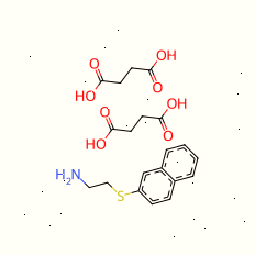 NCCSc1ccc2ccccc2c1.O=C(O)CCC(=O)O.O=C(O)CCC(=O)O